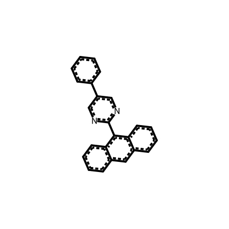 c1ccc(-c2cnc(-c3c4ccccc4cc4ccccc34)nc2)cc1